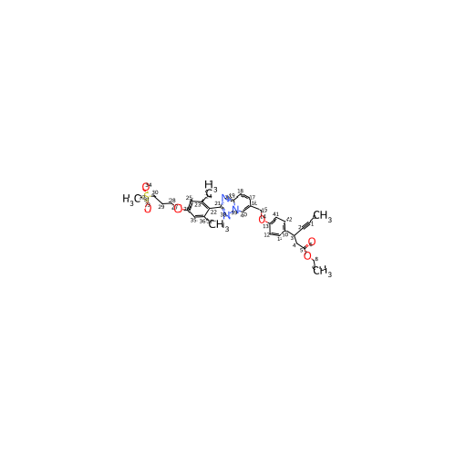 CC#CC(CC(=O)OCC)c1ccc(OCc2ccc3nc(-c4c(C)cc(OCCCS(C)(=O)=O)cc4C)nn3c2)cc1